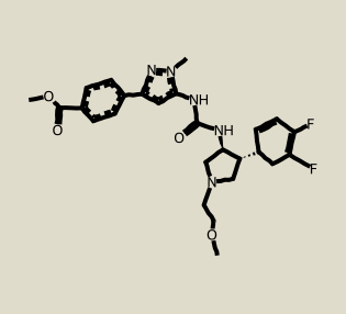 COCCN1C[C@@H](NC(=O)Nc2cc(-c3ccc(C(=O)OC)cc3)nn2C)[C@H](C2C=CC(F)=C(F)C2)C1